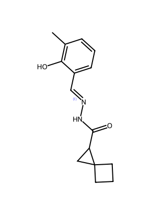 Cc1cccc(/C=N/NC(=O)C2CC23CCC3)c1O